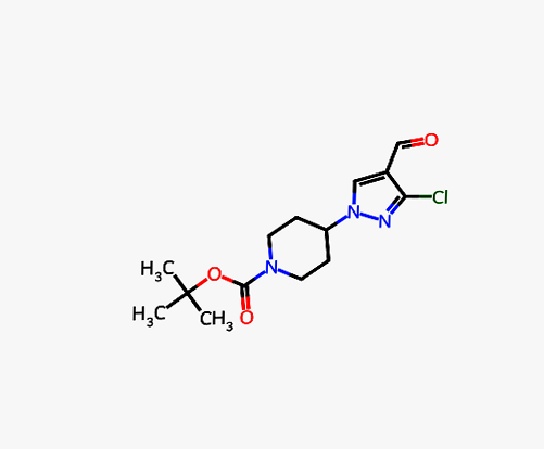 CC(C)(C)OC(=O)N1CCC(n2cc(C=O)c(Cl)n2)CC1